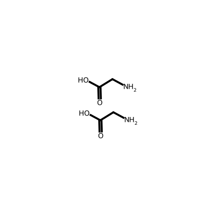 NCC(=O)O.NCC(=O)O